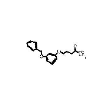 O=C(CCCOc1cccc(OCc2ccccc2)c1)C(F)(F)F